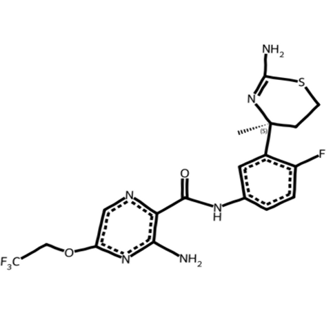 C[C@@]1(c2cc(NC(=O)c3ncc(OCC(F)(F)F)nc3N)ccc2F)CCSC(N)=N1